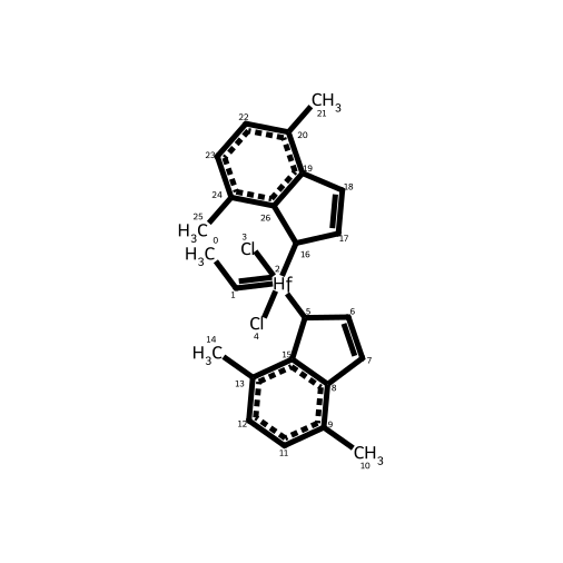 C[CH]=[Hf]([Cl])([Cl])([CH]1C=Cc2c(C)ccc(C)c21)[CH]1C=Cc2c(C)ccc(C)c21